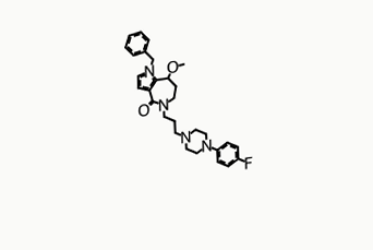 COC1CCN(CCCN2CCN(c3ccc(F)cc3)CC2)C(=O)c2ccn(Cc3ccccc3)c21